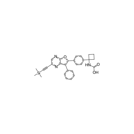 C[Si](C)(C)C#Cc1cnc2oc(-c3ccc(C4(NC(=O)O)CCC4)cc3)c(-c3ccccc3)c2n1